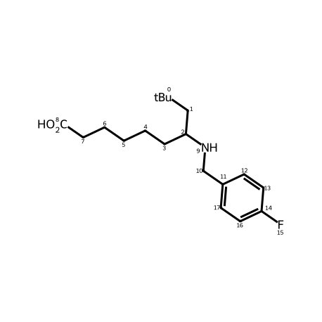 CC(C)(C)CC(CCCCCC(=O)O)NCc1ccc(F)cc1